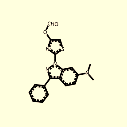 CN(C)c1ccc2c(-c3ccccc3)nn(-c3nc(OC=O)cs3)c2c1